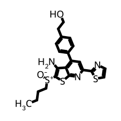 CCCC[S+]([O-])c1sc2nc(-c3nccs3)cc(-c3ccc(CCO)cc3)c2c1N